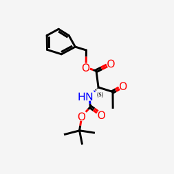 CC(=O)[C@H](NC(=O)OC(C)(C)C)C(=O)OCc1ccccc1